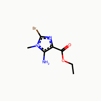 CCOC(=O)c1nc(Br)n(C)c1N